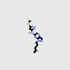 C=C(F)CCCn1ncc2ncc(Nc3cc(OC(F)F)[nH]n3)nc21